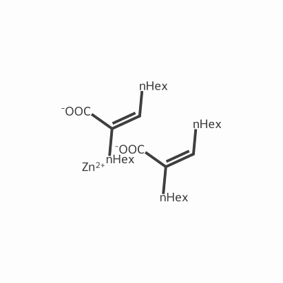 CCCCCC/C=C(/CCCCCC)C(=O)[O-].CCCCCC/C=C(/CCCCCC)C(=O)[O-].[Zn+2]